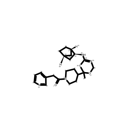 CC1(C2CCN(C(=O)Cc3cccnc3)CC2)OCN=C(N[C@H]2C[C@@H]3CC[C@H]2C3)S1